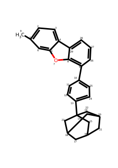 Cc1ccc2c(c1)oc1c(-c3ccc(C45CC6CC(CC(C6)C4)C5)cc3)cccc12